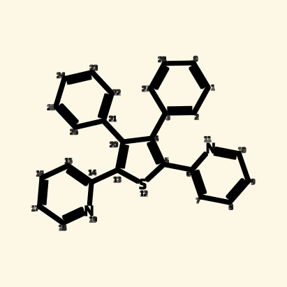 c1ccc(-c2c(-c3ccccn3)sc(-c3ccccn3)c2-c2ccccc2)cc1